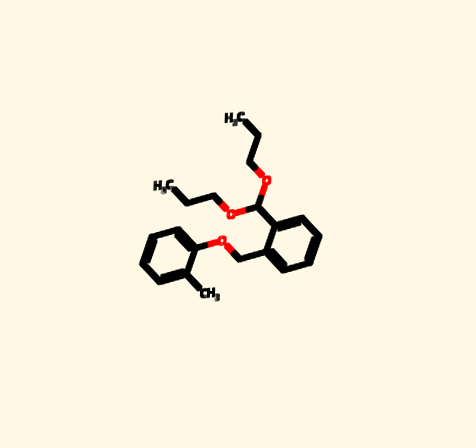 CCCOC(OCCC)c1ccccc1COc1ccccc1C